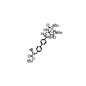 COC(=O)C(NC(=O)c1ccc(-c2ccc(CN(C(=O)OC(C)(C)C)C3CC3)cc2)cc1)C(C)(C)NC(=O)OC(C)(C)C